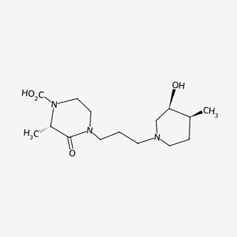 C[C@H]1CCN(CCCN2CCN(C(=O)O)[C@@H](C)C2=O)C[C@H]1O